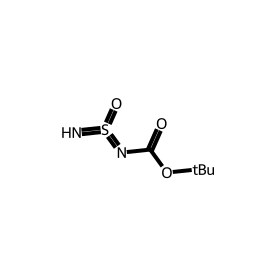 CC(C)(C)OC(=O)N=S(=N)=O